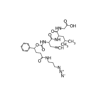 C#CCC(NC(=O)OC(CCC(=O)NCCCN=[N+]=[N-])c1ccccc1)C(=O)NC(CC(C)C)C(=O)NCC(=O)O